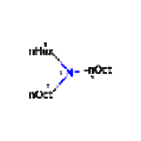 [CH2]CCCCCN(CCCCCCCC)CCCCCCCC